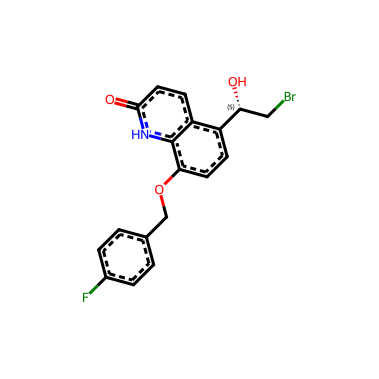 O=c1ccc2c([C@H](O)CBr)ccc(OCc3ccc(F)cc3)c2[nH]1